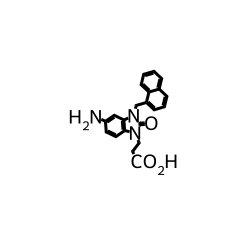 Nc1ccc2c(c1)n(Cc1cccc3ccccc13)c(=O)n2CCC(=O)O